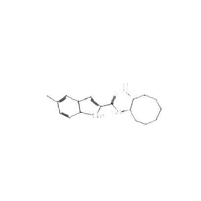 CC1=CC2C=C(C(=O)N[C@@H]3CCCCCC[C@@H]3N)NC2C=C1